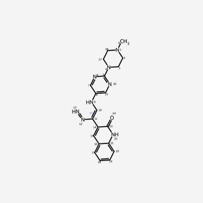 CN1CCN(c2ncc(N/C=C(\N=N)c3cc4ccccc4[nH]c3=O)cn2)CC1